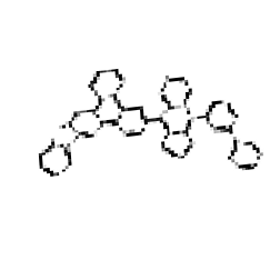 c1ccc(-c2cccc(-c3c4ccccc4c(-c4ccc5c(c4)c4ccccc4c4cc6oc7ccccc7c6cc54)c4ccccc34)c2)cc1